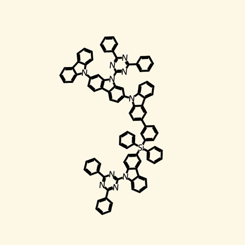 c1ccc(-c2nc(-c3ccccc3)nc(-n3c4ccccc4c4cc([Si](c5ccccc5)(c5ccccc5)c5cccc(-c6ccc7c(c6)c6ccccc6n7-c6ccc7c8ccc(-n9c%10ccccc%10c%10ccccc%109)cc8n(-c8nc(-c9ccccc9)nc(-c9ccccc9)n8)c7c6)c5)ccc43)n2)cc1